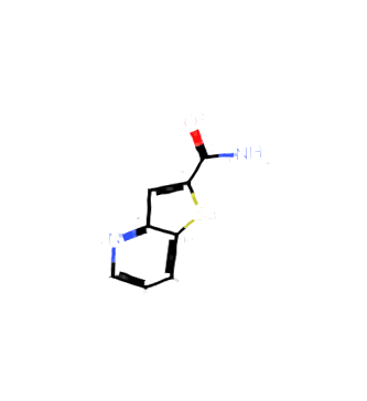 NC(=O)c1cc2ncccc2s1